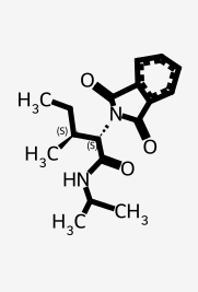 CC[C@H](C)[C@@H](C(=O)NC(C)C)N1C(=O)c2ccccc2C1=O